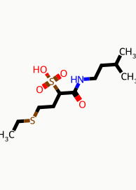 CCSCCC(C(=O)NCCC(C)C)S(=O)(=O)O